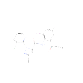 CNC(=O)c1cc(I)cc(I)c1NC(=O)c1cc(C)nn1-c1ncccc1Cl